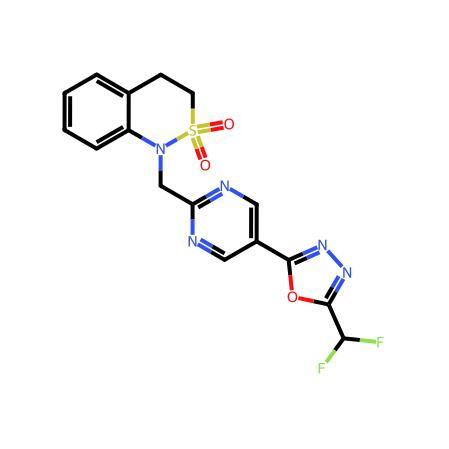 O=S1(=O)CCc2ccccc2N1Cc1ncc(-c2nnc(C(F)F)o2)cn1